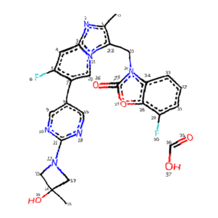 Cc1nc2cc(F)c(-c3cnc(N4CC(C)(O)C4)nc3)cn2c1Cn1c(=O)oc2c(F)cccc21.O=CO